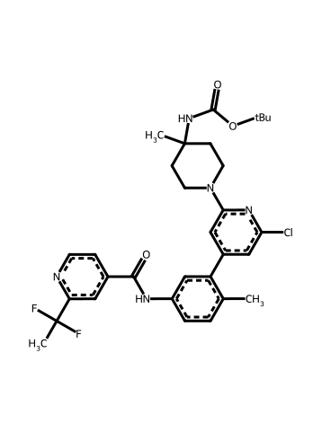 Cc1ccc(NC(=O)c2ccnc(C(C)(F)F)c2)cc1-c1cc(Cl)nc(N2CCC(C)(NC(=O)OC(C)(C)C)CC2)c1